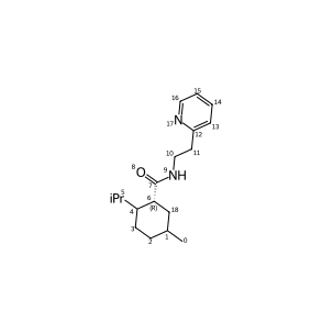 CC1CCC(C(C)C)[C@H](C(=O)NCCc2ccccn2)C1